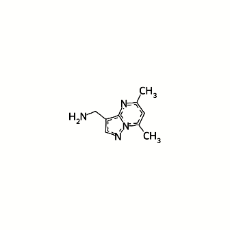 Cc1cc(C)n2ncc(CN)c2n1